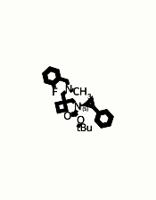 CN(Cc1ccccc1F)CC1(CN(C(=O)OC(C)(C)C)[C@H]2CC2c2ccccc2)CCC1